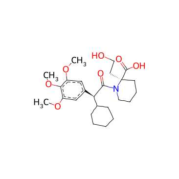 COc1cc([C@@H](C(=O)N2CCCC[C@]2(CCO)C(=O)O)C2CCCCC2)cc(OC)c1OC